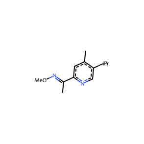 CO/N=C(\C)c1cc(C)c(C(C)C)cn1